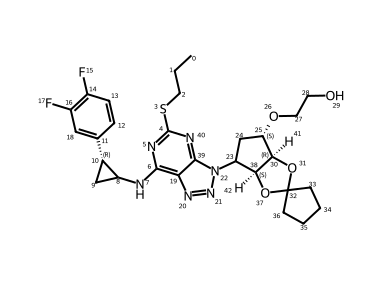 CCCSc1nc(NC2C[C@@H]2c2ccc(F)c(F)c2)c2nnn(C3C[C@H](OCCO)[C@H]4OC5(CCCC5)O[C@@H]34)c2n1